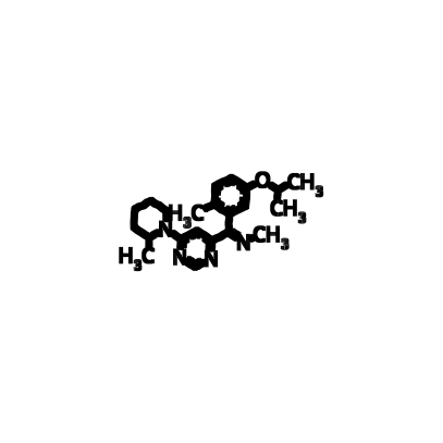 C/N=C(/c1cc(N2CCCCC2C)ncn1)c1cc(OC(C)C)ccc1C